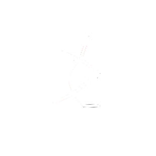 C=CS(=O)(=O)OS(C)(=O)=O